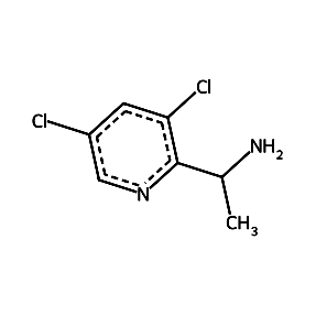 CC(N)c1ncc(Cl)cc1Cl